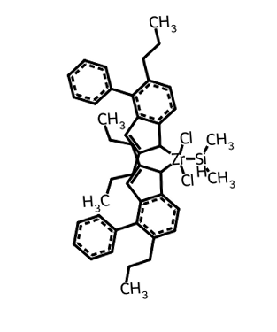 CCCC1=Cc2c(ccc(CCC)c2-c2ccccc2)[CH]1[Zr]([Cl])([Cl])([CH]1C(CCC)=Cc2c1ccc(CCC)c2-c1ccccc1)[SiH](C)C